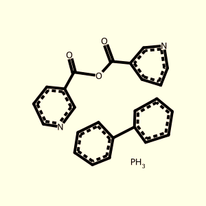 O=C(OC(=O)c1cccnc1)c1cccnc1.P.c1ccc(-c2ccccc2)cc1